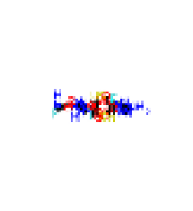 Nc1ncnc2c1ncn2[C@@H]1O[C@@H]2CO[P@@](=O)(S)O[C@H]3[C@@H](F)[C@H](n4cnc5c(NC(=O)OC[C@@H]6C[C@H](F)CN6)ncnc54)O[C@@H]3CO[P@@](=O)(S)O[C@H]2[C@H]1F